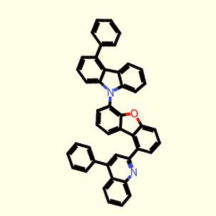 c1ccc(-c2cc(-c3cccc4oc5c(-n6c7ccccc7c7c(-c8ccccc8)cccc76)cccc5c34)nc3ccccc23)cc1